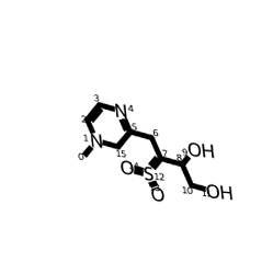 CN1C=CN=C(CC(C(O)CO)=S(=O)=O)C1